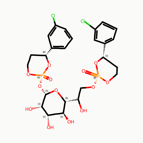 O=[P@]1(OCC(O)[C@H]2O[C@@H](O[P@]3(=O)OCC[C@H](c4cccc(Cl)c4)O3)[C@@H](O)[C@@H](O)[C@@H]2O)OCC[C@@H](c2cccc(Cl)c2)O1